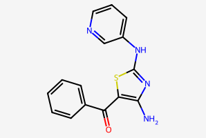 Nc1nc(Nc2cccnc2)sc1C(=O)c1ccccc1